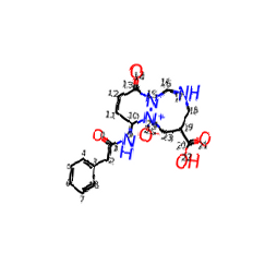 O=C(Cc1ccccc1)NC1CCC(=O)N2CNCC(C(=O)O)C[N+]12[O-]